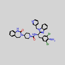 Nc1c(Br)cc(C[C@@H](NC(=O)N2CCC(N3CCc4ccccc4NC3=O)CC2)c2nc3ccccc3n2Cc2cccnc2)cc1Br